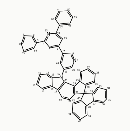 c1ccc(-c2cc(-c3cncc(-n4c5ccccc5c5ccc6c(c54)-c4ccccc4C64c5ccccc5-c5ccccc54)c3)cc(-c3ccccc3)n2)cc1